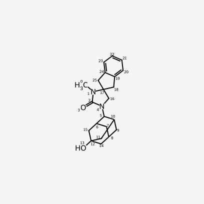 CN1C(=O)N(C2C3CC4CC2CC(O)(C4)C3)CC12Cc1ccccc1C2